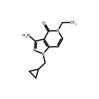 Nc1nn(CC2CC2)c2ccn(CC(F)(F)F)c(=O)c12